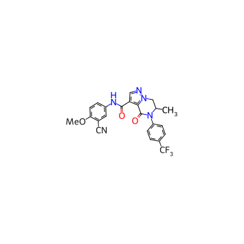 COc1ccc(NC(=O)c2cnn3c2C(=O)N(c2ccc(C(F)(F)F)cc2)C(C)C3)cc1C#N